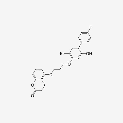 CCc1cc(-c2ccc(F)cc2)c(O)cc1OCCCOc1cccc2c1CCC(=O)O2